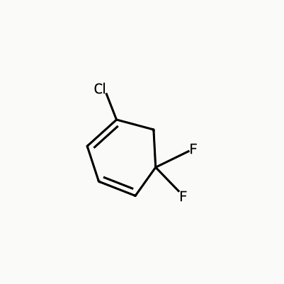 FC1(F)C=CC=C(Cl)C1